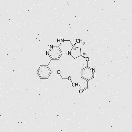 COCOc1ccccc1-c1cc2c(nn1)NC[C@]1(C)C[C@@H](Oc3ccc(C=O)cn3)CN21